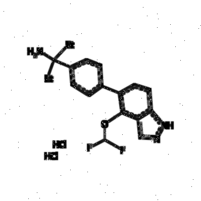 CCC(N)(CC)c1ccc(-c2ccc3[nH]ncc3c2OC(F)F)cc1.Cl.Cl